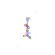 COc1cc2c(Oc3ccc(NC(=O)c4nn(-c5ccc(F)cc5)cc4OCC4CC4)cc3F)ccnc2cc1OCCCN1CCN(C)CC1